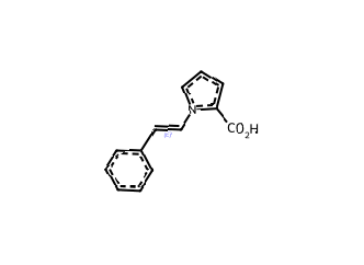 O=C(O)c1cccn1/C=C/c1ccccc1